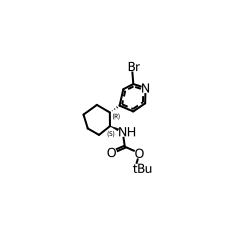 CC(C)(C)OC(=O)N[C@H]1CCCC[C@@H]1c1ccnc(Br)c1